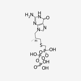 C[C@@H](CSCP(=O)(O)OP(=O)(O)OP(=O)(O)O)Cn1cnc2c(=O)[nH]c(N)nc21